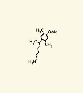 COc1cc(C)c(C(C)CCCCCN)cc1C